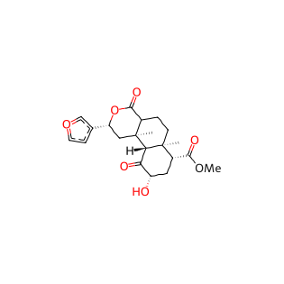 COC(=O)[C@@H]1C[C@H](O)C(=O)[C@H]2[C@@]1(C)CCC1C(=O)O[C@@H](c3ccoc3)C[C@@]12C